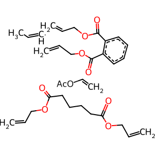 C=CCOC(=O)CCCCC(=O)OCC=C.C=CCOC(=O)c1ccccc1C(=O)OCC=C.C=COC(C)=O.[CH]=CC